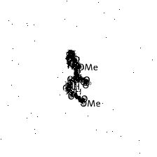 COC(=O)CCCCC(=O)N[C@@H](C)C(=O)N[C@@H](C)C(=O)Nc1cc(COc2cc3c(cc2OC)C(=O)N2c4ccccc4CC2C=N3)cc(COS(C)(=O)=O)c1